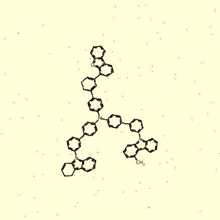 Cc1cccc2c1c1ccccc1n2-c1cccc(-c2ccc(N(c3ccc(C4=CC(c5cccc6c5oc5ccccc56)=CCC4)cc3)c3ccc(-c4cccc(-n5c6c(c7ccccc75)CCC=C6)c4)cc3)cc2)c1